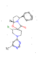 N#Cc1cc(N2CCC3(O[C@@H]4CC[C@@H](c5ccccc5)N4C3=O)C(F)C2)ncn1